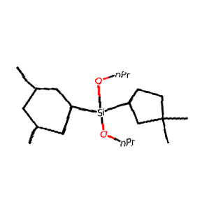 CCCO[Si](OCCC)(C1CC(C)CC(C)C1)C1CCC(C)(C)C1